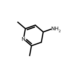 CC1=CC(N)CC(C)=N1